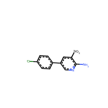 Nc1ncc(-c2ccc(Cl)cc2)cc1[N+](=O)[O-]